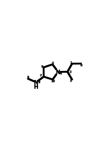 CCC(C)N1CCC(NC)C1